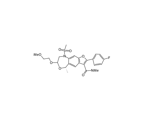 CNC(=O)c1c(-c2ccc(F)cc2)oc2cc3c(cc12)[C@H](C)OC(OCCOC)CN3S(C)(=O)=O